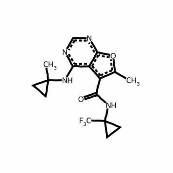 Cc1oc2ncnc(NC3(C)CC3)c2c1C(=O)NC1(C(F)(F)F)CC1